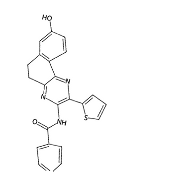 O=C(Nc1nc2c(nc1-c1cccs1)-c1ccc(O)cc1CC2)c1ccccc1